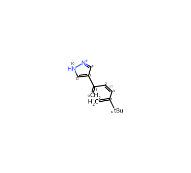 C=C(/C=C\C(=C)C(C)(C)C)c1cn[nH]c1